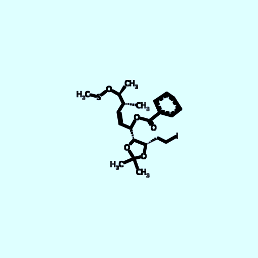 CSO[C@@H](C)[C@H](C)/C=C\C(OC(=O)c1ccccc1)[C@H]1OC(C)(C)O[C@H]1CCI